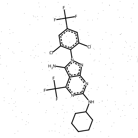 Nc1c2c(C(F)(F)F)nc(NC3CCCCC3)nc2nn1-c1c(Cl)cc(C(F)(F)F)cc1Cl